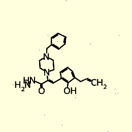 C=CCc1cccc(C=C(C(=O)NN)N2CCN(Cc3ccccc3)CC2)c1O